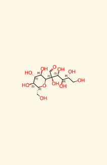 O=C[C@@](O)(C1O[C@H](CO)[C@@H](O)[C@H](O)[C@H]1O)[C@@H](O)[C@H](O)[C@H](O)CO